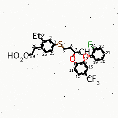 CCc1cc(SCCC(C)Oc2ccc(C(F)(F)F)cc2Oc2ccccc2F)ccc1CCC(=O)O